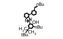 CCCCC=Cc1cccc(-c2cccc3nn(-c4cc(C(C)(C)CC(C)(C)C)cc(CCCC)c4O)nc23)c1